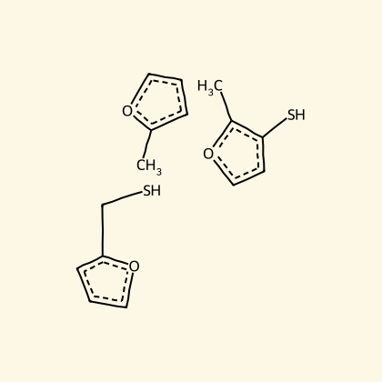 Cc1ccco1.Cc1occc1S.SCc1ccco1